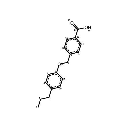 CCCc1ccc(OCc2ccc(C(=O)O)cc2)cc1